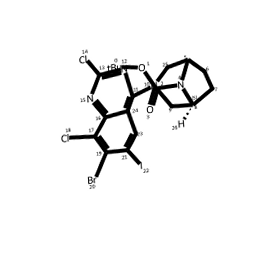 CC(C)(C)OC(=O)N1C2CC[C@H]1CN(c1nc(Cl)nc3c(Cl)c(Br)c(I)cc13)C2